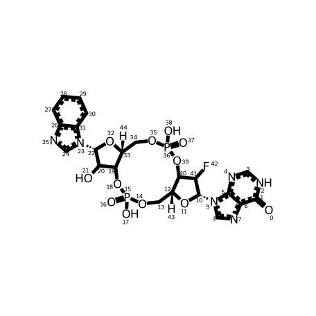 O=c1[nH]cnc2c1ncn2[C@@H]1O[C@@H]2COP(=O)(O)OC3C(O)[C@H](n4cnc5ccccc54)O[C@@H]3COP(=O)(O)OC2C1F